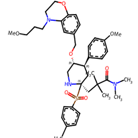 COCCCN1CCOc2ccc(CO[C@H]3CN[C@](CC(C)(C)C(=O)N(C)C)(S(=O)(=O)c4ccc(C)cc4)C[C@@H]3c3ccc(OC)cc3)cc21